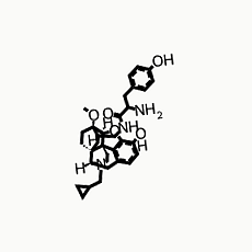 CO[C@]12CC[C@@]3(C[C@@H]1CNC(=O)C(N)Cc1ccc(O)cc1)[C@H]1Cc4ccc(O)c5c4[C@@]3(CCN1CC1CC1)[C@H]2O5